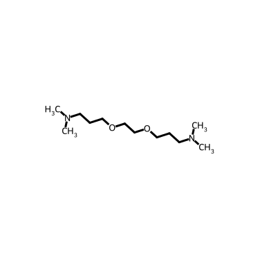 CN(C)CCCOCCOCCCN(C)C